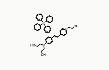 OCCN(CCO)c1ccc(/C=C/c2cc[n+](CCO)cc2)cc1.c1ccc([B-](c2ccccc2)(c2ccccc2)c2ccccc2)cc1